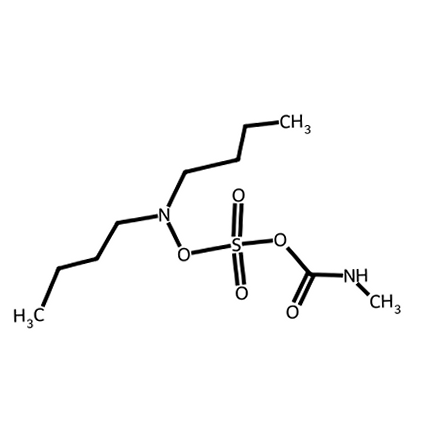 CCCCN(CCCC)OS(=O)(=O)OC(=O)NC